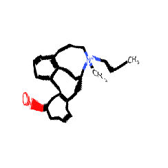 CCC[N+]1(C)CCc2cccc3c2C1CC1=C3C(=O)CCC1